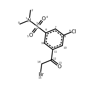 CN(C)S(=O)(=O)c1cc(Cl)cc(C(=O)CBr)c1